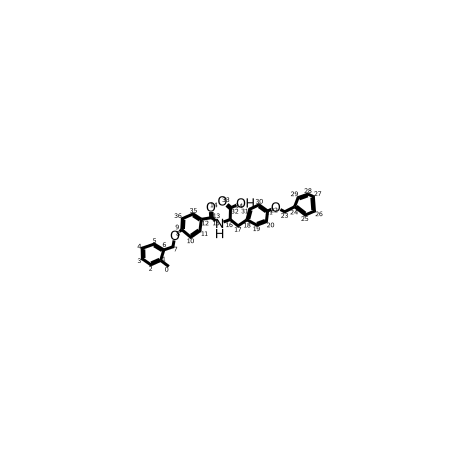 Cc1ccccc1COc1ccc(C(=O)NC(Cc2ccc(OCc3ccccc3)cc2)C(=O)O)cc1